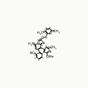 COc1cc(-c2c(-c3ccccc3C#N)nc(N)n3nc(OCc4nc(C)ccc4C)nc23)cc(C)n1